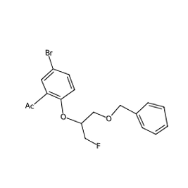 CC(=O)c1cc(Br)ccc1OC(CF)COCc1ccccc1